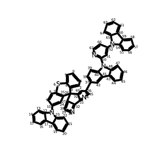 c1ccc2c(c1)Sc1ccc(-n3c4ccccc4c4ccccc43)cc1C21c2cccnc2-c2ncc(-c3ccc4c(c3)c3ccccc3n4-c3cc(-n4c5ccccc5c5ccccc54)ccn3)cc21